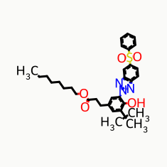 CCCCCCCCOC(=O)CCc1cc(-n2nc3ccc(S(=O)(=O)c4ccccc4)cc3n2)c(O)c(C(C)(C)C)c1